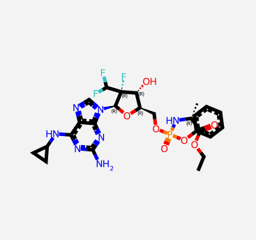 CCOC(=O)[C@@H](C)NP(=O)(OC[C@H]1O[C@@H](n2cnc3c(NC4CC4)nc(N)nc32)[C@@](F)(C(F)F)[C@@H]1O)Oc1ccccc1